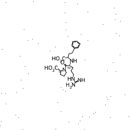 N=C(N)NCCC[C@H](NC(CCc1ccccc1)C(=O)O)C(=O)N1CCC[C@H]1C(=O)O